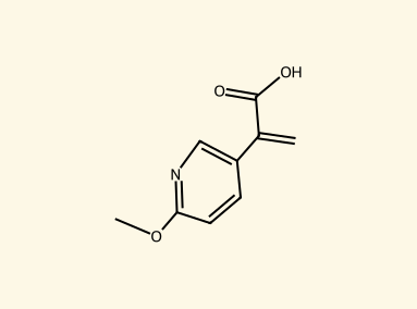 C=C(C(=O)O)c1ccc(OC)nc1